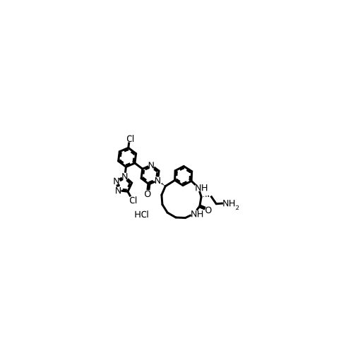 Cl.NCC[C@H]1Nc2cccc(c2)[C@@H](n2cnc(-c3cc(Cl)ccc3-n3cc(Cl)nn3)cc2=O)CCCCCNC1=O